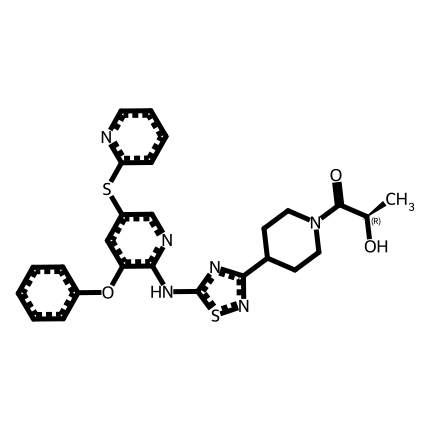 C[C@@H](O)C(=O)N1CCC(c2nsc(Nc3ncc(Sc4ccccn4)cc3Oc3ccccc3)n2)CC1